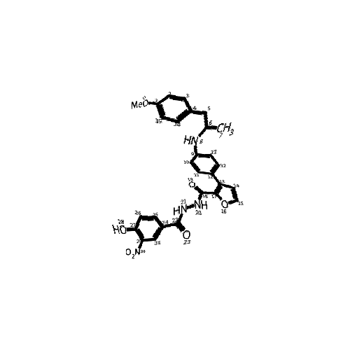 COc1ccc(CC(C)Nc2ccc(-c3ccoc3C(=O)NNC(=O)c3ccc(O)c([N+](=O)[O-])c3)cc2)cc1